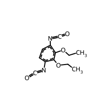 CCOc1c(N=C=O)ccc(N=C=O)c1OCC